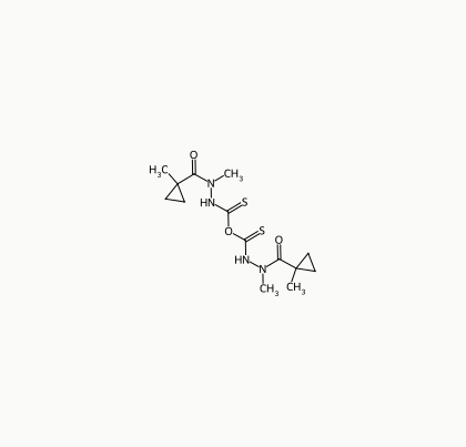 CN(NC(=S)OC(=S)NN(C)C(=O)C1(C)CC1)C(=O)C1(C)CC1